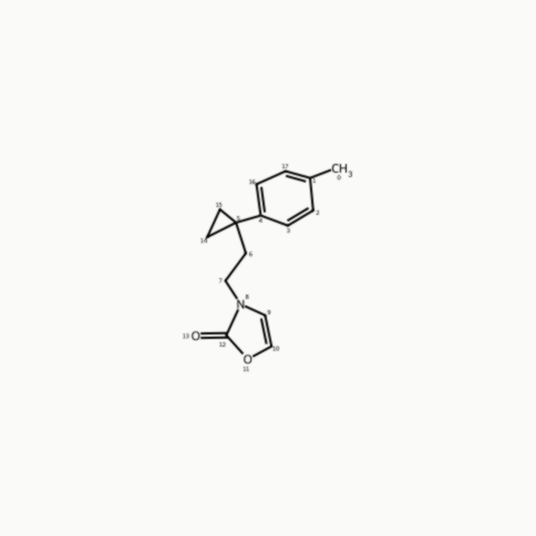 Cc1ccc(C2(CCn3ccoc3=O)CC2)cc1